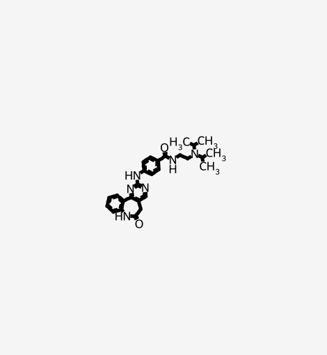 CC(C)N(CCNC(=O)c1ccc(Nc2ncc3c(n2)-c2ccccc2NC(=O)C3)cc1)C(C)C